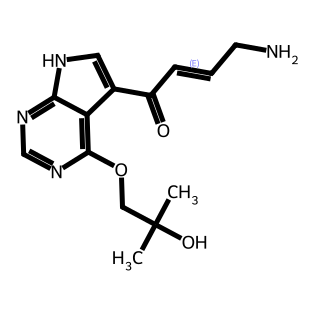 CC(C)(O)COc1ncnc2[nH]cc(C(=O)/C=C/CN)c12